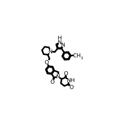 Cc1cccc(-c2n[nH]cc2CN2CCCCC2COc2ccc3c(c2)CN(C2CCC(=O)NC2=O)C3=O)c1